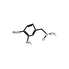 CSc1ccc(C[S+](C)[O-])cc1N